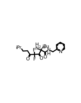 CC[C@H](C)[C@](N)(C(=O)NCc1ccccn1)C(=O)C(F)(F)C(=O)CCC(C)C